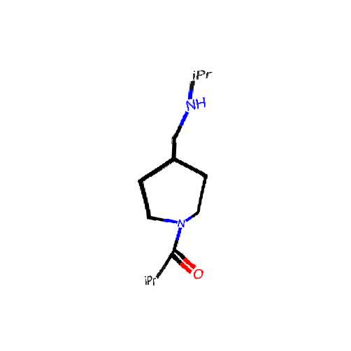 CC(C)NCC1CCN(C(=O)C(C)C)CC1